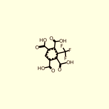 O=C(O)c1cc(C(=O)O)c(C(=O)O)c(C(F)(F)F)c1C(=O)O